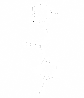 O=C(Cc1ncc[nH]1)c1ccc(Cl)s1